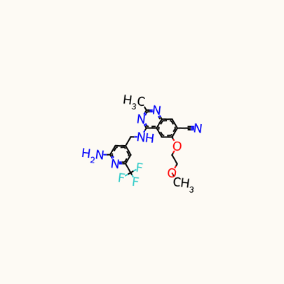 COCCOc1cc2c(NCc3cc(N)nc(C(F)(F)F)c3)nc(C)nc2cc1C#N